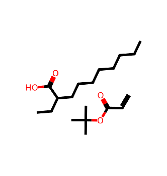 C=CC(=O)OC(C)(C)C.CCCCCCCCC(CC)C(=O)O